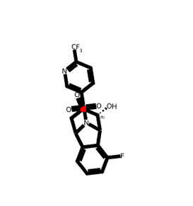 O=C1CC2c3cccc(F)c3C([C@H]1O)N2S(=O)(=O)c1ccc(C(F)(F)F)nc1